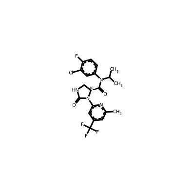 Cc1cc(C(F)(F)F)cc(N2C(=O)NC[C@H]2C(=O)N(c2ccc(F)c(Cl)c2)C(C)C)n1